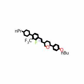 CCCCOc1ccc(C2CCC(/C=C/c3ccc(C4CCC(CCC)CC4)c(C(F)(F)F)c3F)CO2)cc1